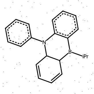 CC(C)B1c2ccccc2N(c2ccccc2)C2C=CC=CC12